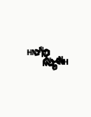 COC1=CC2=NCC(c3cccc(N(C)C4CCNC4)n3)N2C=C1c1cn[nH]c1